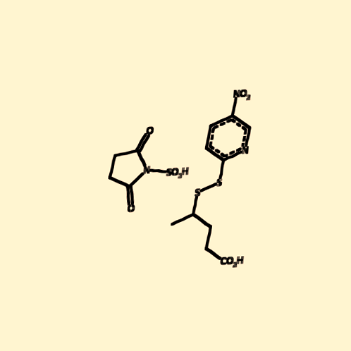 CC(CCC(=O)O)SSc1ccc([N+](=O)[O-])cn1.O=C1CCC(=O)N1S(=O)(=O)O